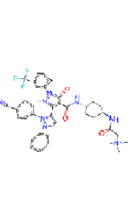 Cn1c(-c2ccnn2-c2ccc(C#N)cc2)c(C(=O)N[C@H]2CC[C@H](NC(=O)C[N+](C)(C)C)CC2)c(=O)n1-c1cccc(C(F)(F)F)c1.c1ccccc1